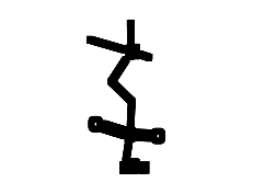 CCCCS(=O)(=O)CC[Si](C)(C)C